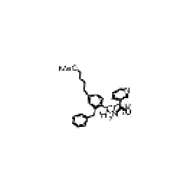 COCCCCc1ccc(C(=O)O)c(Cc2ccccc2)c1.NC(=O)c1cccnc1